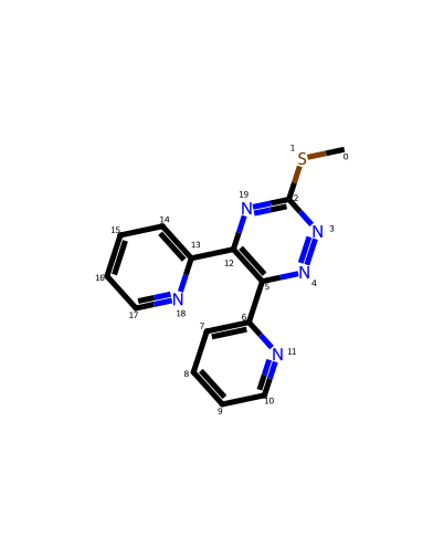 CSc1nnc(-c2ccccn2)c(-c2ccccn2)n1